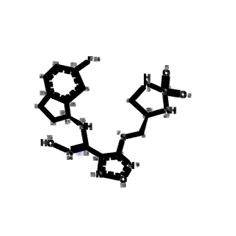 O=S1(=O)NC[C@H](CSc2nonc2/C(=N/O)N[C@H]2CCc3ccc(F)cc32)N1